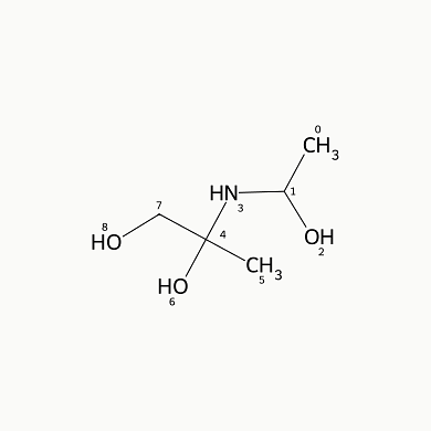 CC(O)NC(C)(O)CO